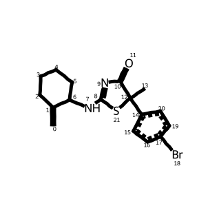 C=C1CCCCC1NC1=NC(=O)C(C)(c2ccc(Br)cc2)S1